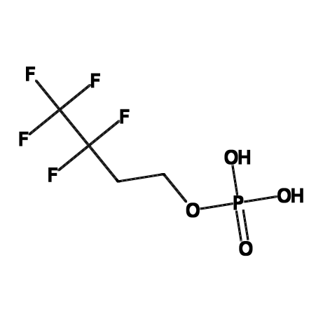 O=P(O)(O)OCCC(F)(F)C(F)(F)F